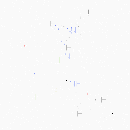 CN(C)[C@H]1[C@@H]2C[C@H]1N(c1ncc3c4c(c(-c5ncc(F)c6sc(NC(=O)OC(C)(C)C)c(C#N)c56)c(F)c3n1)COC4)C2